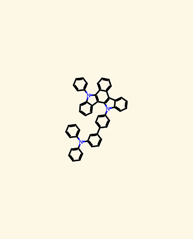 c1ccc(N(c2ccccc2)c2cccc(-c3ccc(-n4c5ccccc5c5c6ccccc6c6c(c7ccccc7n6-c6ccccc6)c54)cc3)c2)cc1